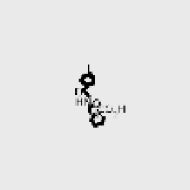 O=C(C[C@@H]1CCCCN1C(=O)O)NCC(=O)c1ccc(F)cc1